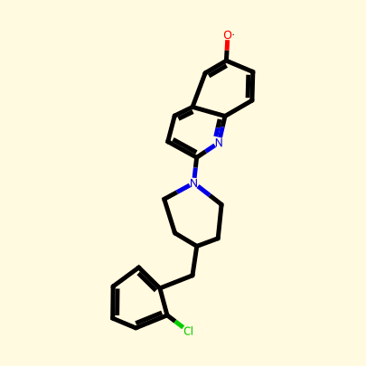 [O]c1ccc2nc(N3CCC(Cc4ccccc4Cl)CC3)ccc2c1